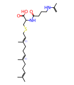 C=C(C)NCCCC(=O)NC(CSC/C=C(\C)CC/C=C(\C)CCC=C(C)C)C(=O)O